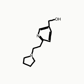 OCc1ccc(CCN2CCCC2)nc1